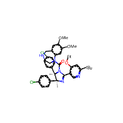 CCOc1cc(C(C)(C)C)ncc1C1=N[C@@](C)(c2ccc(Cl)cc2)[C@@](C)(c2ccc(Cl)cc2)N1C(=O)N1CCNCc2cc(OC)c(OC)cc21